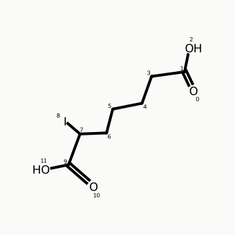 O=C(O)CCCCC(I)C(=O)O